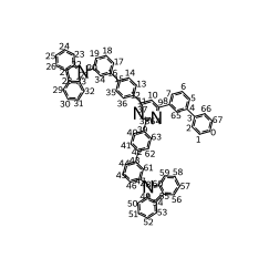 c1ccc(-c2cccc(-c3cc(-c4ccc(-c5cccc(-n6c7ccccc7c7ccccc76)c5)cc4)nc(-c4ccc(-c5cccc(-n6c7ccccc7c7ccccc76)c5)cc4)n3)c2)cc1